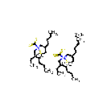 CCCCC(CC)C[N+]([S-])(CC(CC)CCCC)C(=S)[S-].CCCCC(CC)C[N+]([S-])(CC(CC)CCCC)C(=S)[S-].[Zn+2]